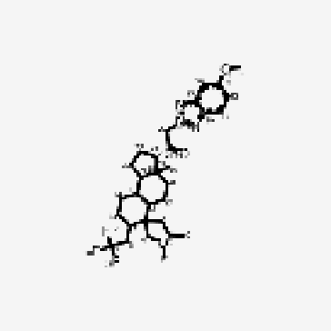 CCCC1(COC)C(CC(F)(F)F)CCC2C1CCC1(C)C2CC[C@@H]1C(=O)Cn1nc2ccc(OC)cc2n1